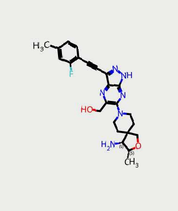 Cc1ccc(C#Cc2n[nH]c3nc(N4CCC5(CC4)CO[C@@H](C)[C@H]5N)c(CO)nc23)c(F)c1